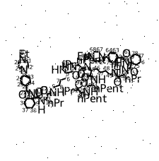 CCCCC[C@H](NC(=O)[C@H](CCCCNC(=O)[C@H](CCC)NC(=O)C1(NC(=O)c2ccc(N3CCN(CC)CC3)cc2)CCCCC1)NC(C)C)C(=O)N[C@@H](CCCCNC(=O)[C@H](CCC)NC(=O)C1(NC(=O)c2ccc(N3CCN(CC)CC3)cc2)CCCCC1)C(=O)N[C@@H](CCCCC)C(=O)N[C@@H](CCCCC)C(=O)C(C)C